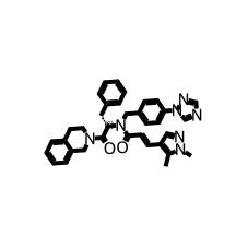 Cc1c(C=CC(=O)N(Cc2ccc(-n3cncn3)cc2)[C@@H](Cc2ccccc2)C(=O)N2CCc3ccccc3C2)cnn1C